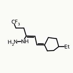 CCC1CCC(=C/C=C(/CCC(F)(F)F)NN)CC1